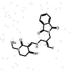 CC(C)(C)CN1CCC(=N)/C(=C\NC/C(=C/F)CN2C(=O)c3ccccc3C2=O)C1=O